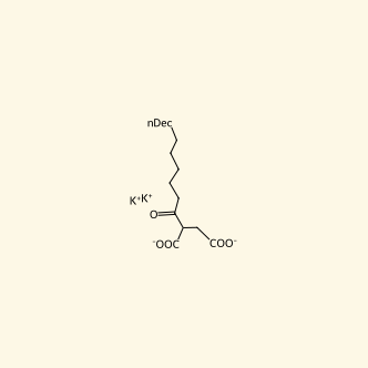 CCCCCCCCCCCCCCCC(=O)C(CC(=O)[O-])C(=O)[O-].[K+].[K+]